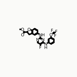 COC(=O)C1Cc2cc(Nc3ncc(F)c(Nc4cccc(OC(F)(F)F)c4)n3)ccc2O1